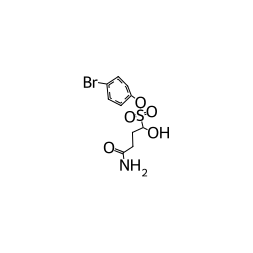 NC(=O)CCC(O)S(=O)(=O)Oc1ccc(Br)cc1